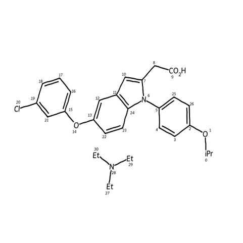 CC(C)Oc1ccc(-n2c(CC(=O)O)cc3cc(Oc4cccc(Cl)c4)ccc32)cc1.CCN(CC)CC